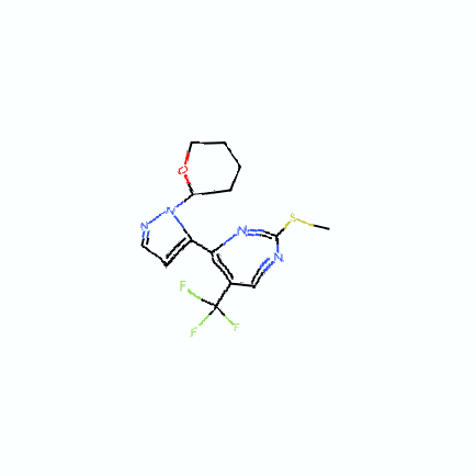 CSc1ncc(C(F)(F)F)c(-c2ccnn2C2CCCCO2)n1